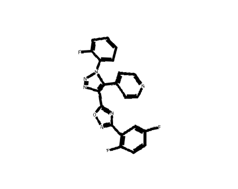 Fc1ccc(F)c(-c2noc(-c3nnn(-c4ccccc4F)c3-c3ccncc3)n2)c1